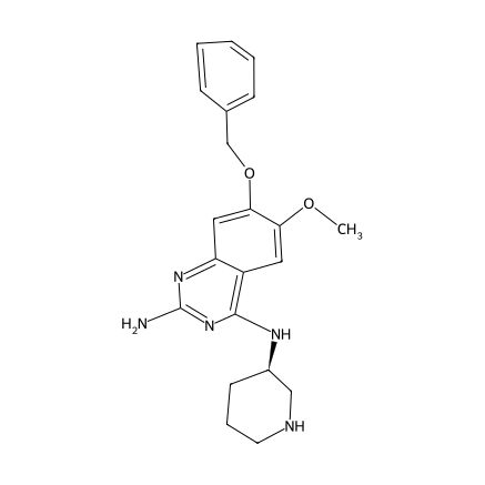 COc1cc2c(N[C@@H]3CCCNC3)nc(N)nc2cc1OCc1ccccc1